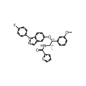 COc1cccc([C@H](Oc2ccc3c(cnn3-c3ccc(F)cc3)c2)[C@H](C)NC(=O)c2cccs2)c1